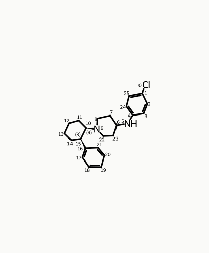 Clc1ccc(NC2CCN([C@@H]3CCCC[C@@H]3c3ccccc3)CC2)cc1